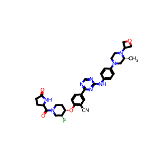 C[C@@H]1CN(c2ccc(Nc3ncnc(-c4ccc(O[C@H]5CCN(C(=O)C6CCC(=O)N6)C[C@H]5F)c(C#N)c4)n3)cc2)CCN1C1COC1